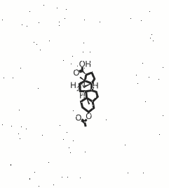 CC(=O)O[C@H]1CC[C@@]2(C)C(CC[C@@H]3[C@@H]2CC[C@]2(C)[C@@H](C(=O)O)CC[C@]32CN)C1